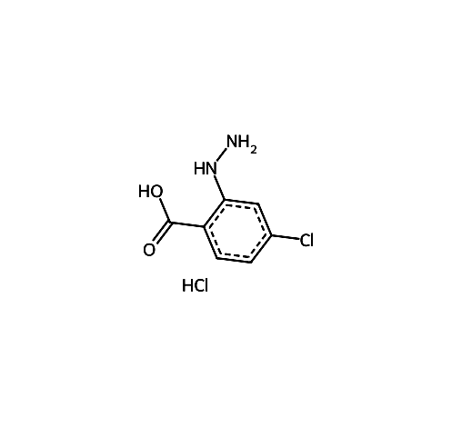 Cl.NNc1cc(Cl)ccc1C(=O)O